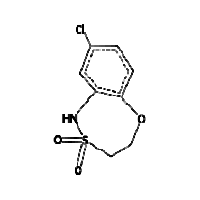 O=S1(=O)CCOc2ccc(Cl)cc2N1